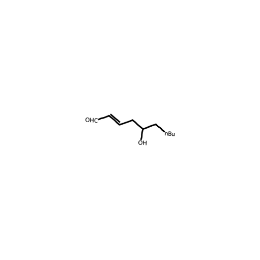 CCCCCC(O)C/C=C/C=O